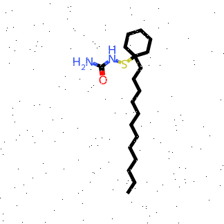 CCCCCCCCCCCCC1(SNC(N)=O)CCCCC1